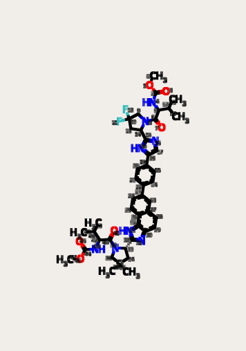 COC(=O)N[C@H](C(=O)N1CC(F)(F)CC1c1ncc(-c2ccc(-c3ccc4c(ccc5nc([C@@H]6C[Si](C)(C)CN6C(=O)[C@@H](NC(=O)OC)C(C)C)[nH]c54)c3)cc2)[nH]1)C(C)C